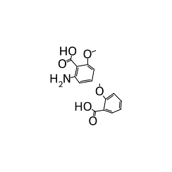 COc1cccc(N)c1C(=O)O.COc1ccccc1C(=O)O